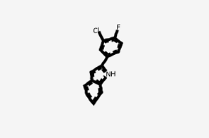 Fc1ccc(-c2cc3ccccc3[nH]2)cc1Cl